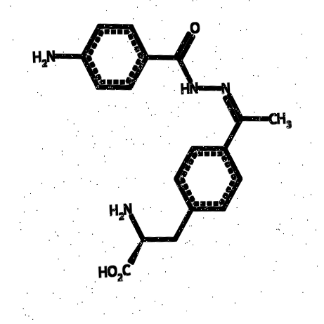 CC(=NNC(=O)c1ccc(N)cc1)c1ccc(C[C@H](N)C(=O)O)cc1